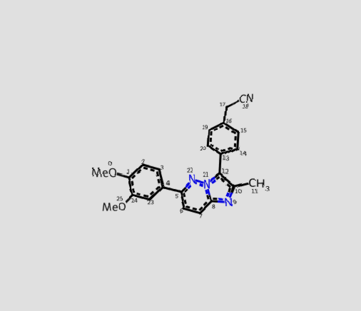 COc1ccc(-c2ccc3nc(C)c(-c4ccc(CC#N)cc4)n3n2)cc1OC